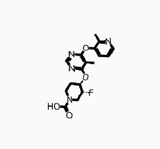 Cc1ncccc1Oc1ncnc(O[C@@H]2CCN(C(=O)O)C[C@H]2F)c1C